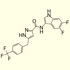 O=C(Nc1c[nH]c2cc(F)c(F)cc12)c1cc(Cc2ccc(C(F)(F)F)cc2)[nH]n1